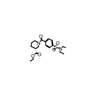 CCOC(=O)[C@@H]1CCCN(C(=O)c2ccc(S(=O)(=O)N(CC)CC)cc2)C1